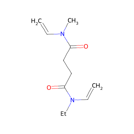 C=CN(C)C(=O)CCC(=O)N(C=C)CC